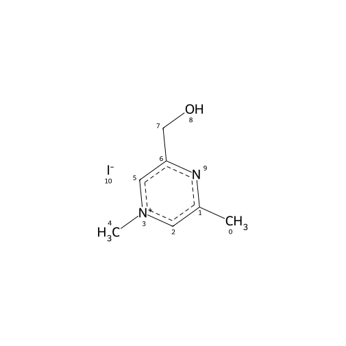 Cc1c[n+](C)cc(CO)n1.[I-]